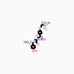 NC(CCOc1ccc(/C(=N/O)C(=O)NC2CN(C(C(=O)O)c3ccc(O)cc3)C2=O)cc1)C(=O)O